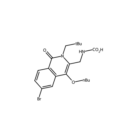 CCCCOc1c(CNC(=O)O)n(CC(C)(C)C)c(=O)c2ccc(Br)cc12